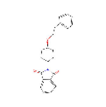 O=C1c2ccccc2C(=O)N1[C@H]1CC[C@H](OCCc2ccccc2)CC1